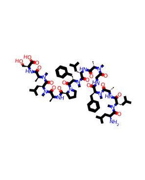 CC(C)C[C@H](NC(=O)[C@H](C)N(C)C(=O)CNC(=O)[C@H](Cc1ccccc1)N(C)C(=O)[C@H](C)NC(=O)[C@H](CC(C)C)N(C)C(=O)[C@@H](N)CC(C)C)C(=O)N(C)[C@@H](Cc1ccccc1)C(=O)N1CCC[C@H]1C(=O)N[C@@H](C)C(=O)N(C)[C@@H](CC(C)C)C(=O)N(C)[C@@H](C)C(=O)N[C@@H](CO)C(=O)O